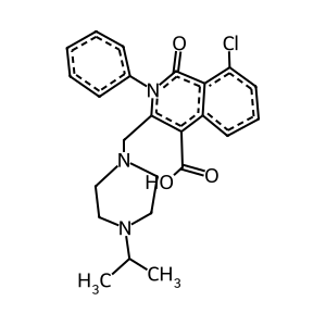 CC(C)N1CCN(Cc2c(C(=O)O)c3cccc(Cl)c3c(=O)n2-c2ccccc2)CC1